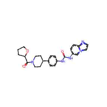 O=C(Nc1ccc(C2CCN(C(=O)C3CCCO3)CC2)cc1)Nc1ccc2nccn2c1